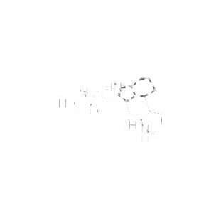 CS(=O)(=O)OCc1[nH]c2cccc3c2c1C[C@@H]1NCCCC31